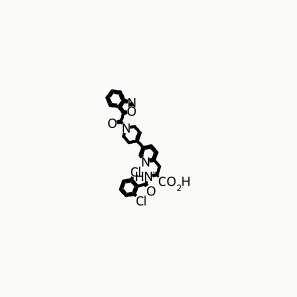 O=C(N[C@@H](Cc1ccc(C2=CCN(C(=O)c3onc4ccccc34)CC2)cn1)C(=O)O)c1c(Cl)cccc1Cl